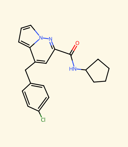 O=C(NC1CCCC1)c1cc(Cc2ccc(Cl)cc2)c2cccn2n1